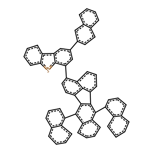 c1ccc2cc(-c3cc(-c4ccc5c6c(cccc46)-c4c-5c(-c5cccc6ccccc56)c5ccccc5c4-c4cccc5ccccc45)c4sc5ccccc5c4c3)ccc2c1